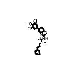 O=C(NCCCc1ccccc1)Nc1cnc2ccc(-c3cc(Cl)c(O)c(Cl)c3)cc2n1